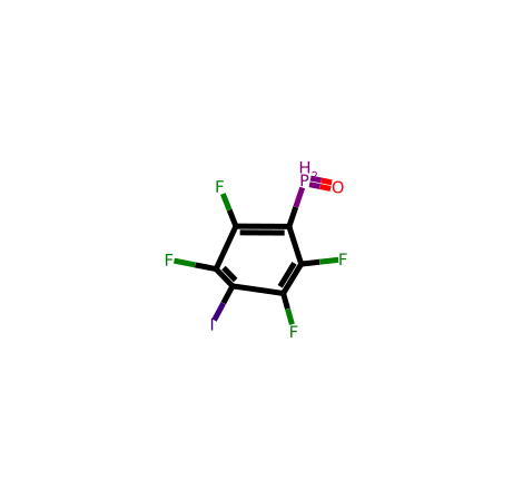 O=[PH2]c1c(F)c(F)c(I)c(F)c1F